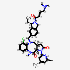 Cc1cc(C(F)(F)F)cc(N2C(=O)C[C@@H]3CN(Cc4ccc5c(c4)[C@@H](CC#N)N(C(=O)/C=C/CN(C)C)C5)c4c(Cl)cccc4N(C)C(=O)[C@H]32)n1